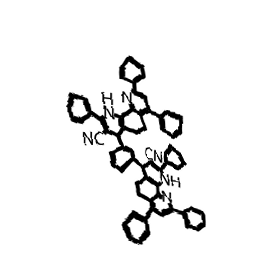 N#CC1=C(c2ccccc2)NC2=C(CCc3c(-c4ccccc4)cc(-c4ccccc4)nc32)C1c1cccc(C2C(C#N)=C(c3ccccc3)NC3=C2CCc2c(-c4ccccc4)cc(-c4ccccc4)nc23)c1